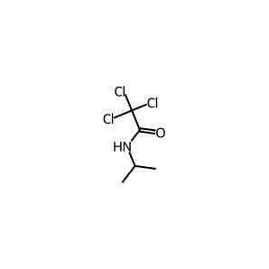 CC(C)NC(=O)C(Cl)(Cl)Cl